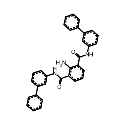 Nc1c(C(=O)Nc2cccc(-c3ccccc3)c2)cccc1C(=O)Nc1cccc(-c2ccccc2)c1